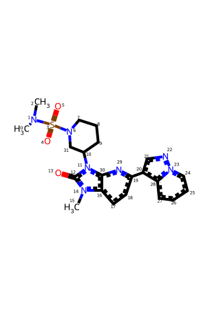 CN(C)S(=O)(=O)N1CCCC(n2c(=O)n(C)c3ccc(-c4cnn5ccccc45)nc32)C1